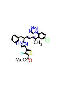 COC(=O)c1scc(-c2c[nH]c(C(/C=C/C=C(\C)c3cc(Cl)ccc3-n3cnnn3)Cc3ccccc3)n2)c1F